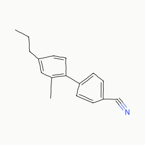 CCCc1ccc(-c2ccc(C#N)cc2)c(C)c1